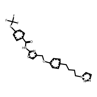 O=C(Nc1nc(COc2ccc(CCCCn3ccnn3)cc2)cs1)c1ccc(SC(F)(F)F)cc1